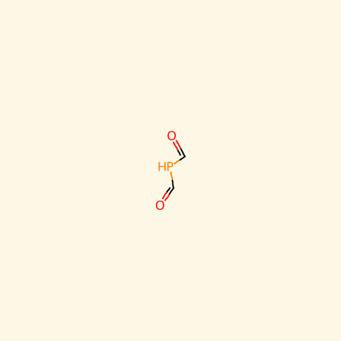 O=CPC=O